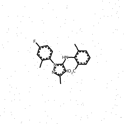 Cc1cc(Nc2c(C)cccc2C(=O)O)n(-c2ccc(F)cc2C)n1